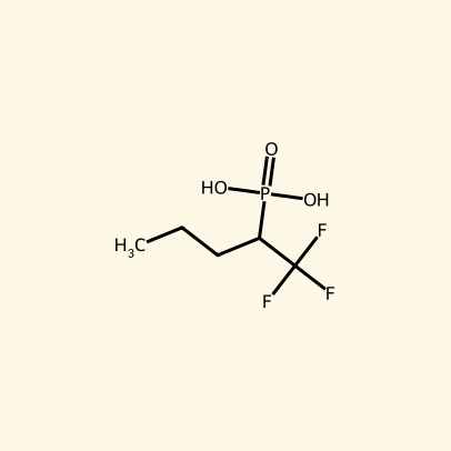 CCCC(C(F)(F)F)P(=O)(O)O